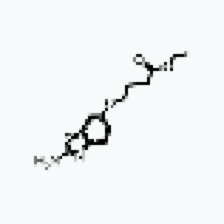 CCOC(=O)CCCOc1ccc2nc(N)sc2c1